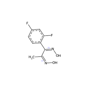 CC(=N/O)/C(=N\O)c1ccc(F)cc1F